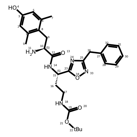 Cc1cc(O)cc(C)c1C[C@H](N)C(=O)N[C@@H](CCNC(=O)OC(C)(C)C)c1nc(Cc2ccccc2)no1